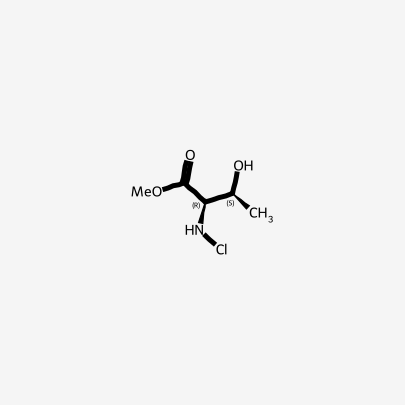 COC(=O)[C@H](NCl)[C@H](C)O